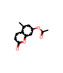 CC(=O)Oc1cc(C)c2ccc(=O)oc2c1